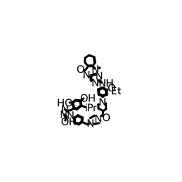 CCOc1cc(N2CCC(C(=O)N3CCN(Cc4ccc(-n5c(O)nnc5-c5cc(C(C)C)c(O)cc5O)cc4)CC3)CC2)ccc1Nc1ncc2c(n1)N(C)C1=C(CCCC=C1)C(=O)N2C